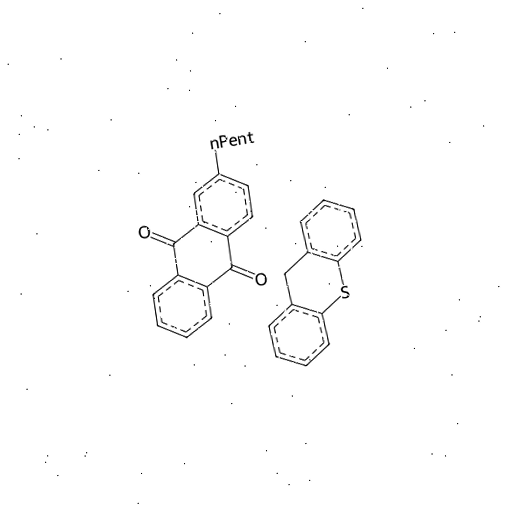 CCCCCc1ccc2c(c1)C(=O)c1ccccc1C2=O.c1ccc2c(c1)Cc1ccccc1S2